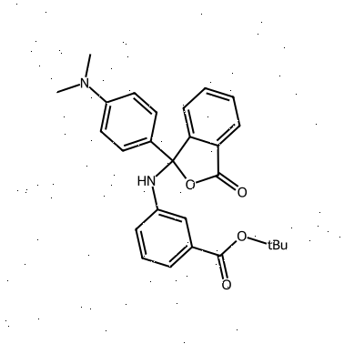 CN(C)c1ccc(C2(Nc3cccc(C(=O)OC(C)(C)C)c3)OC(=O)c3ccccc32)cc1